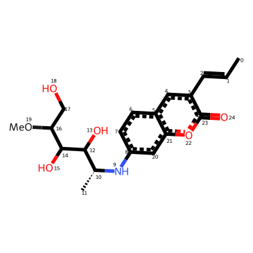 C/C=C/c1cc2ccc(N[C@H](C)C(O)C(O)C(CO)OC)cc2oc1=O